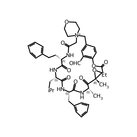 CCC(=O)Oc1ccc(C[N+]2(CC(=O)N[C@@H](CCc3ccccc3)C(=O)N[C@@H](CC(C)C)C(=O)N[C@@H](Cc3ccccc3)C(=O)N[C@@H](C)C(=O)[C@@]3(C)CO3)CCOCC2)cc1C=O